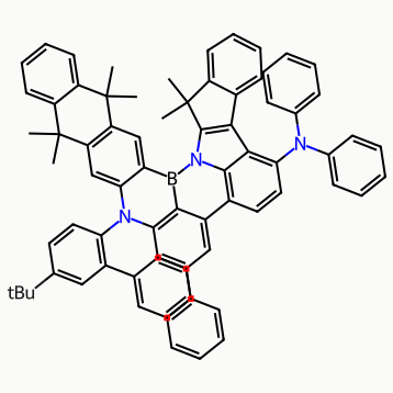 CC(C)(C)c1ccc(N2c3cc4c(cc3B3c5c(cc(-c6ccccc6)cc52)-c2ccc(N(c5ccccc5)c5ccccc5)c5c6c(n3c25)C(C)(C)c2ccccc2-6)C(C)(C)c2ccccc2C4(C)C)c(-c2ccccc2)c1